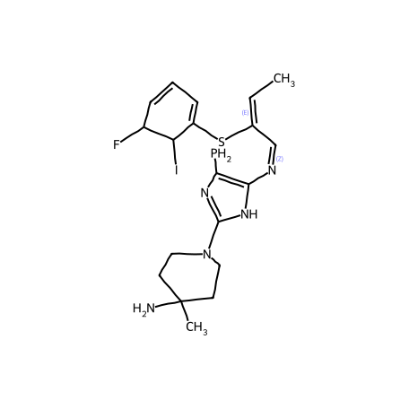 C/C=C(\C=N/c1[nH]c(N2CCC(C)(N)CC2)nc1P)SC1=CC=CC(F)C1I